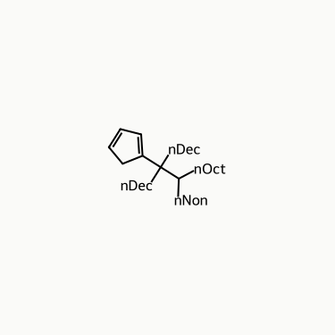 CCCCCCCCCCC(CCCCCCCCCC)(C1=CC=CC1)C(CCCCCCCC)CCCCCCCCC